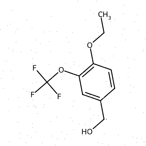 CCOc1ccc([CH]O)cc1OC(F)(F)F